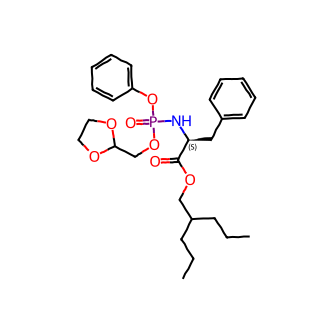 CCCC(CCC)COC(=O)[C@H](Cc1ccccc1)NP(=O)(OCC1OCCO1)Oc1ccccc1